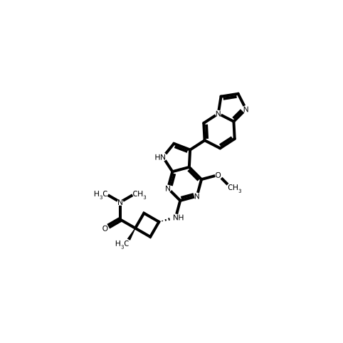 COc1nc(N[C@H]2C[C@@](C)(C(=O)N(C)C)C2)nc2[nH]cc(-c3ccc4nccn4c3)c12